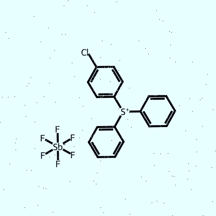 Clc1ccc([S+](c2ccccc2)c2ccccc2)cc1.[F][Sb-]([F])([F])([F])([F])[F]